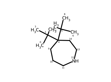 CC(C)(C)C1(C(C)(C)C)CCCNCC1